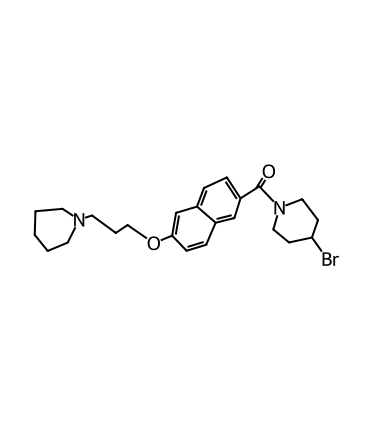 O=C(c1ccc2cc(OCCCN3CCCCC3)ccc2c1)N1CCC(Br)CC1